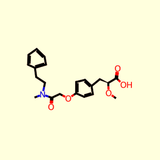 CO[C@@H](Cc1ccc(OCC(=O)N(C)CCc2ccccc2)cc1)C(=O)O